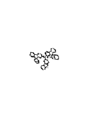 CCC1CC2CCCC(C2)C12c1ccccc1-c1ccc(N(c3ccc4c(c3)C3(CC5CCC3C5)c3ccccc3-4)c3ccc4sc5ccccc5c4c3)cc12